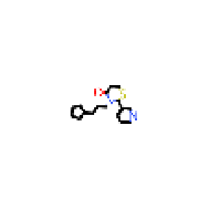 O=C1CCSC(c2cccnc2)N1CCCC1CCCC1